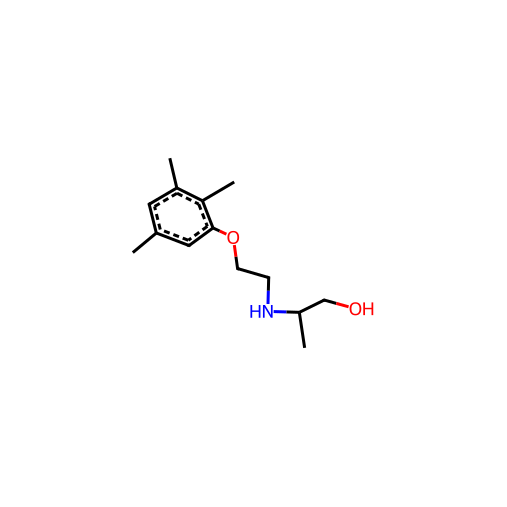 Cc1cc(C)c(C)c(OCCNC(C)CO)c1